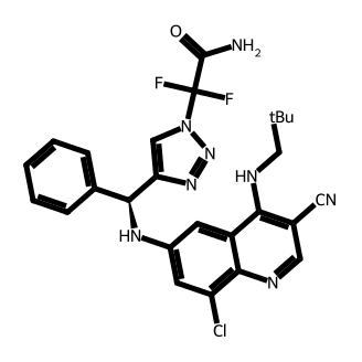 CC(C)(C)CNc1c(C#N)cnc2c(Cl)cc(N[C@@H](c3ccccc3)c3cn(C(F)(F)C(N)=O)nn3)cc12